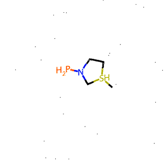 C[SH]1CCN(P)C1